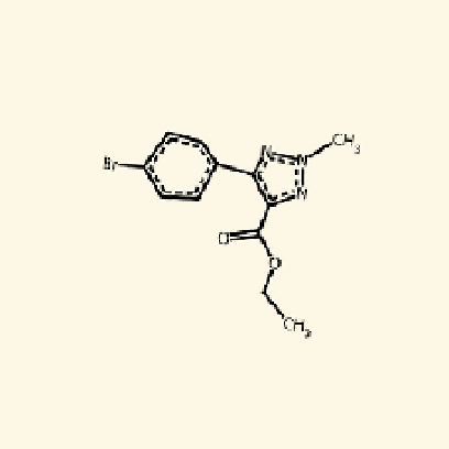 CCOC(=O)c1nn(C)nc1-c1ccc(Br)cc1